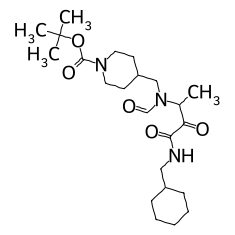 CC(C(=O)C(=O)NCC1CCCCC1)N(C=O)CC1CCN(C(=O)OC(C)(C)C)CC1